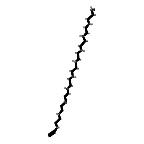 C#COCCOCCOCCOCCOCCOCCOCCOCCOCCO